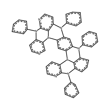 c1ccc(N2c3cc4c(cc3B3c5cccnc5N(c5ccccc5)c5cccc2c53)B2c3cnccc3N(c3ccccc3)c3nccc(c32)N4c2ccccc2)cc1